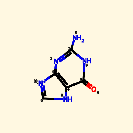 Nc1nc2c(c(=O)[nH]1)NC=[N+]2